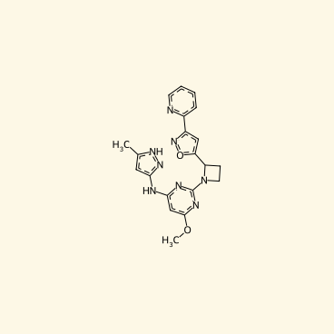 COc1cc(Nc2cc(C)[nH]n2)nc(N2CCC2c2cc(-c3ccccn3)no2)n1